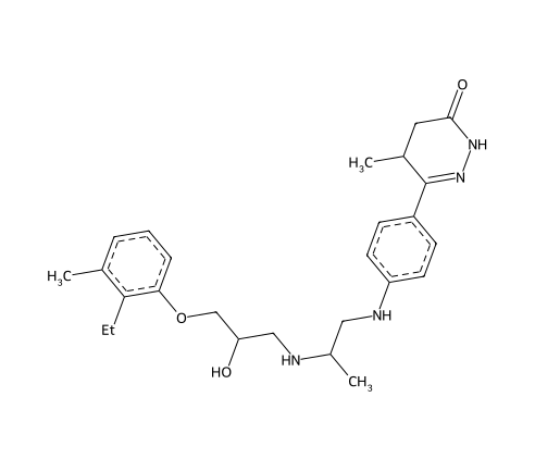 CCc1c(C)cccc1OCC(O)CNC(C)CNc1ccc(C2=NNC(=O)CC2C)cc1